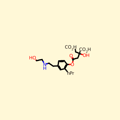 CCCc1cc(CCNCCO)ccc1OC(=O)CC(O)(CC(=O)O)C(=O)O